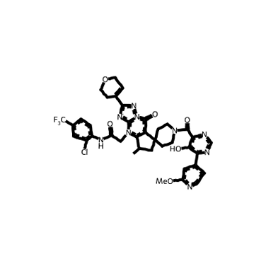 COc1cc(-c2ncnc(C(=O)N3CCC4(CC3)CC(C)c3c4c(=O)n4nc(C5=CCOCC5)nc4n3CC(=O)Nc3ccc(C(F)(F)F)cc3Cl)c2O)ccn1